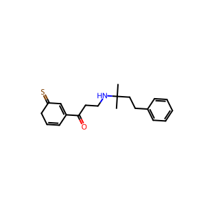 CC(C)(CCc1ccccc1)NCCC(=O)C1=CC(=S)CC=C1